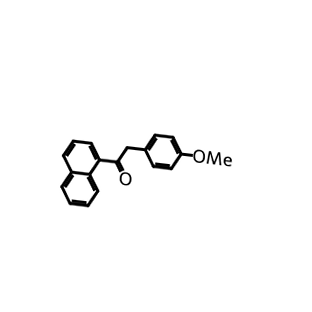 COc1ccc(CC(=O)c2cccc3ccccc23)cc1